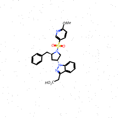 COc1ccc(S(=O)(=O)N2C[C@H](n3nc(CC(=O)O)c4ccccc43)C[C@H]2Cc2ccccc2)cn1